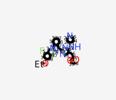 CCOc1cc(F)c(Cn2nc(-c3ncc(CC4OCCO4)c(Nc4ccncc4)n3)c3ccccc32)c(F)c1